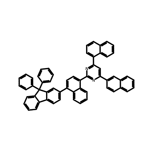 c1ccc(C2(c3ccccc3)c3ccccc3-c3ccc(-c4ccc(-c5nc(-c6ccc7ccccc7c6)cc(-c6cccc7ccccc67)n5)c5ccccc45)cc32)cc1